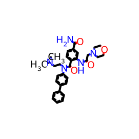 CN(C)CCN(C(=O)c1ccc(C(N)=O)cc1NC(=O)CN1CCOCC1)c1ccc(-c2ccccc2)cc1